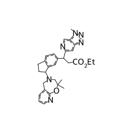 CCOC(=O)CC(c1ccc2c(c1)C(N1Cc3cccnc3OC(C)(C)C1)CC2)c1cc2nnn(C)c2cn1